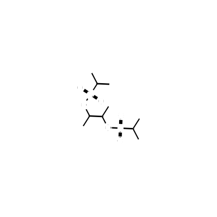 CC(OS(=O)(=O)C(C)C)C(C)OS(=O)(=O)C(C)C